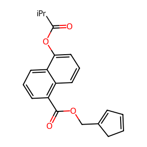 CC(C)C(=O)Oc1cccc2c(C(=O)OCC3=CC=CC3)cccc12